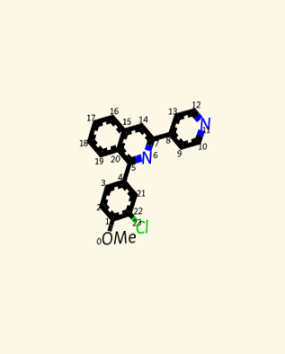 COc1ccc(-c2nc(-c3ccncc3)cc3ccccc23)cc1Cl